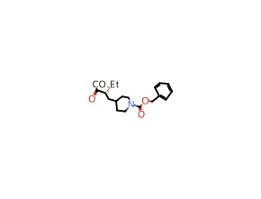 CCOC(=O)C(=O)CCC1CCN(C(=O)OCc2ccccc2)CC1